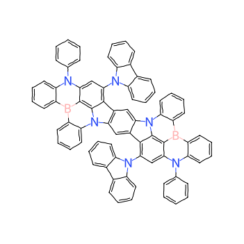 c1ccc(N2c3ccccc3B3c4ccccc4-n4c5cc6c7c(-n8c9ccccc9c9ccccc98)cc8c9c7n(c6cc5c5c(-n6c7ccccc7c7ccccc76)cc2c3c54)-c2ccccc2B9c2ccccc2N8c2ccccc2)cc1